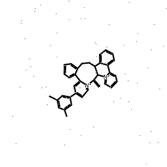 C=C1C2C(CCc3ccccc3-c3cc(-c4cc(C)cc(C)c4)cc[n+]31)c1ccccc1-c1cccc[n+]12